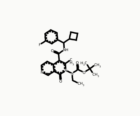 CCN(C(=O)OC(C)(C)C)n1c(C)c(C(=O)NC(c2cccc(F)c2)C2CCC2)c2ccncc2c1=O